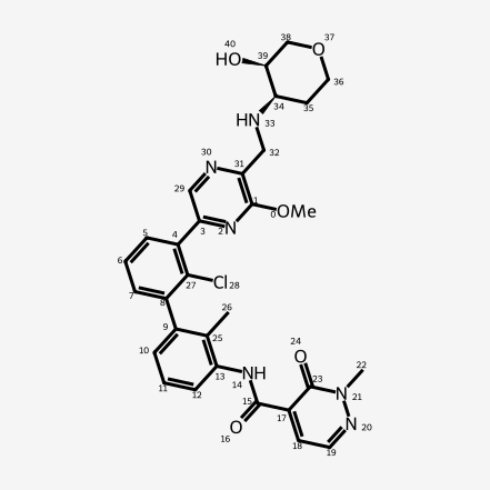 COc1nc(-c2cccc(-c3cccc(NC(=O)c4ccnn(C)c4=O)c3C)c2Cl)cnc1CN[C@@H]1CCOC[C@@H]1O